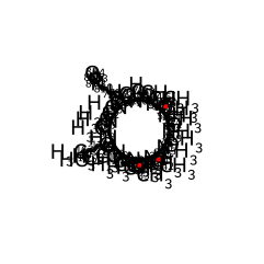 CC[C@@H]1NC(=O)[C@@H]2[C@@H]([C@H](C)C/C=C/CC(C)(C)O)ON2C(=O)[C@H](C(C)C)N(C)C(=O)[C@H](CC(C)C)N(C)C(=O)[C@H](CC(C)C)N(C)C(=O)[C@@H](C)NC(=O)[C@H](C)NC(=O)[C@H](CC(C)C)N(C)C(=O)[C@H](C(C)C)NC(=O)[C@H]([C@@H](C)OCCCCN2CCOCC2)N(C)C(=O)[C@@H](C)N(C)C1=O